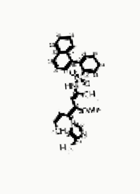 C\C=C/C(=C(\C=C(/C)NS(=O)(=O)C1=CCCC=C1c1cccc2ccccc12)OC)n1cnc(C)c1